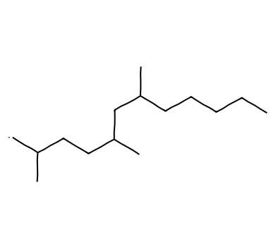 [CH2]C(C)CCC(C)CC(C)CCCCC